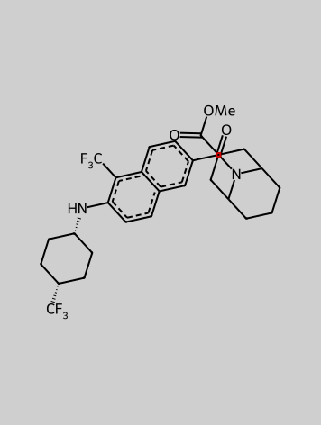 COC(=O)C1CC2CCCC(C1)N2C(=O)c1ccc2c(C(F)(F)F)c(N[C@H]3CC[C@@H](C(F)(F)F)CC3)ccc2c1